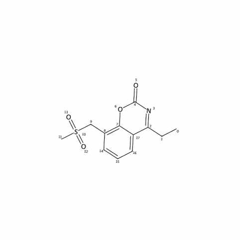 CCc1nc(=O)oc2c(CS(C)(=O)=O)cccc12